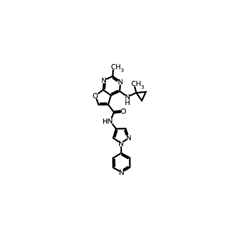 Cc1nc(NC2(C)CC2)c2c(C(=O)Nc3cnn(-c4ccncc4)c3)coc2n1